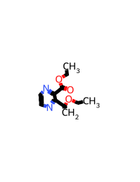 C=C(OCC)c1nccnc1C(=O)OCC